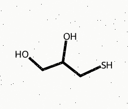 OCC(O)CS